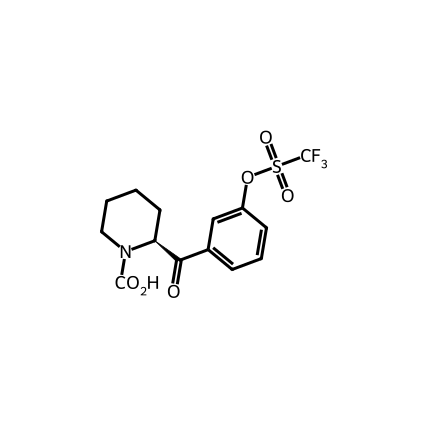 O=C(c1cccc(OS(=O)(=O)C(F)(F)F)c1)[C@@H]1CCCCN1C(=O)O